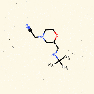 CC(C)(C)NCC1CN(CC#N)CCO1